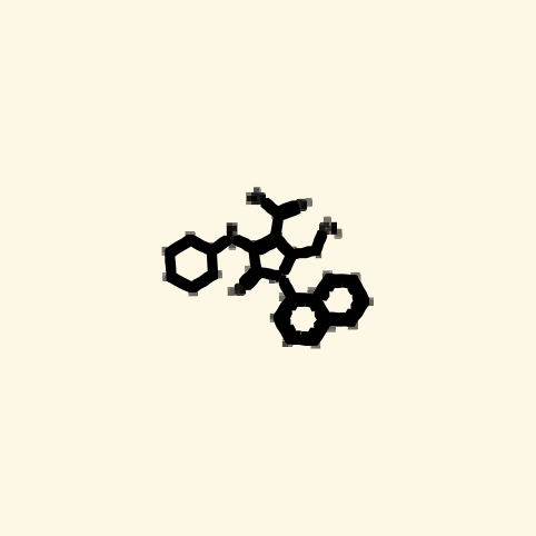 CCC1C(C(=O)O)=C(NC2CCCCC2)C(=O)N1c1cccc2ccccc12